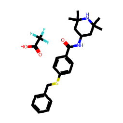 CC1(C)CC(NC(=O)c2ccc(SCc3ccccc3)cc2)CC(C)(C)N1.O=C(O)C(F)(F)F